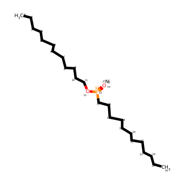 CCCCCCCCCCCCO[PH](=O)CCCCCCCCCCCC.[Ni]